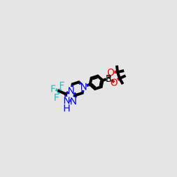 CC1(C)OB(c2ccc(N3CCN4C(=NNC4C(F)(F)F)C3)cc2)OC1(C)C